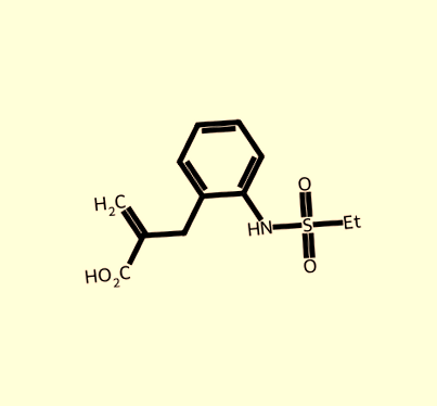 C=C(Cc1ccccc1NS(=O)(=O)CC)C(=O)O